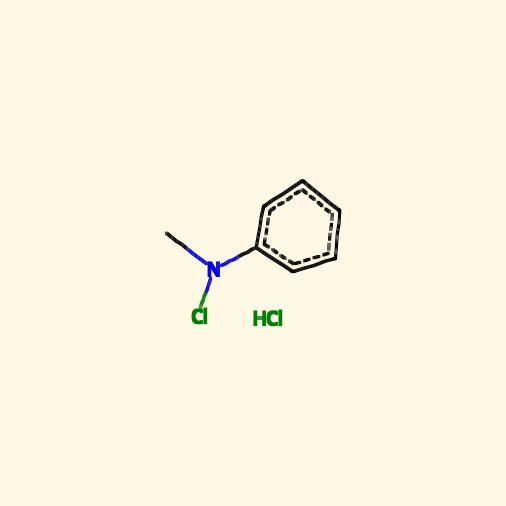 CN(Cl)c1ccccc1.Cl